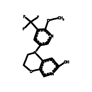 COc1ncc(N2CCOc3cnc(O)cc32)cc1C(F)(F)F